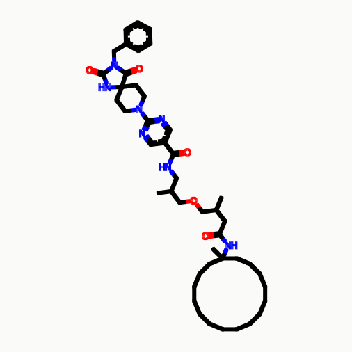 CC(CNC(=O)c1cnc(N2CCC3(CC2)NC(=O)N(Cc2ccccc2)C3=O)nc1)COCC(C)CC(=O)NC1(C)CCCCCCCCCCCCCCC1